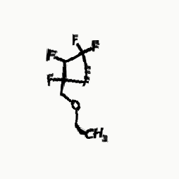 CCOCC(F)(F)C(F)C(F)(F)F